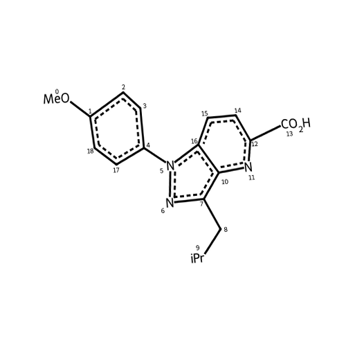 COc1ccc(-n2nc(CC(C)C)c3nc(C(=O)O)ccc32)cc1